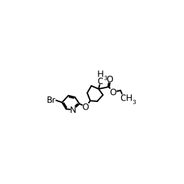 CCOC(=O)C1(C)CCC(Oc2ccc(Br)cn2)CC1